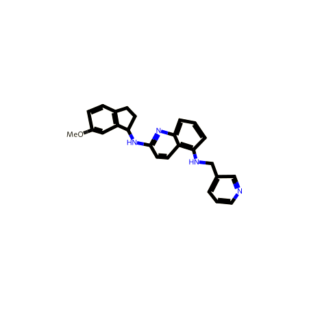 COc1ccc2c(c1)C(Nc1ccc3c(NCc4cccnc4)cccc3n1)CC2